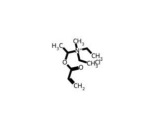 C=CC(=O)OC(C)[N+](C)(CC)CC.[Cl-]